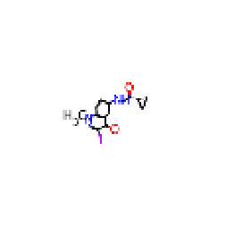 Cn1cc(I)c(=O)c2cc(NCC(=O)C3CC3)ccc21